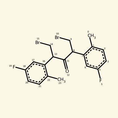 Cc1ccc(F)cc1C(CBr)C(=O)C(CBr)c1cc(F)ccc1C